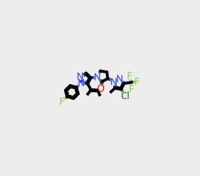 C/C=C(\C)c1c(N2CCC(n3nc(C(F)(F)F)c(Cl)c3C)C2=O)cnn1-c1ccc(F)cc1